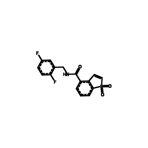 O=C(NCc1cc(F)ccc1F)c1cccc2c1C=CS2(=O)=O